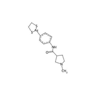 CN1CCC(C(=O)Nc2ccc([As]3SCCS3)cc2)C1